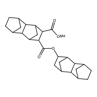 COC(=O)C1C2CC(C1C(=O)OC1CC3CC1C1C4CCC(C4)C31)C1C3CCC(C3)C21